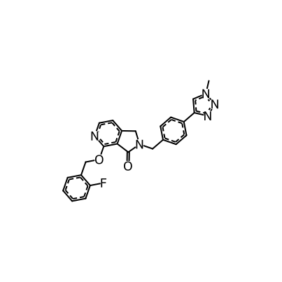 Cn1cc(-c2ccc(CN3Cc4ccnc(OCc5ccccc5F)c4C3=O)cc2)nn1